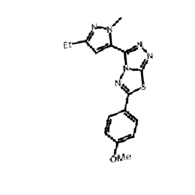 CCc1cc(-c2nnc3sc(-c4ccc(OC)cc4)nn23)n(C)n1